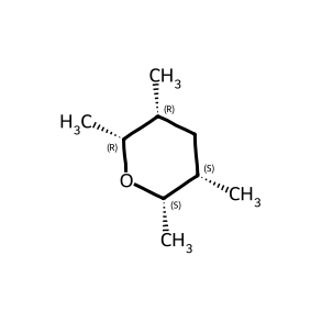 C[C@@H]1C[C@H](C)[C@H](C)O[C@@H]1C